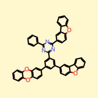 c1ccc(-c2nc(-c3cc(-c4ccc5c(c4)Oc4ccccc4O5)cc(-c4ccc5oc6ccccc6c5c4)c3)nc(-c3ccc4oc5ccccc5c4c3)n2)cc1